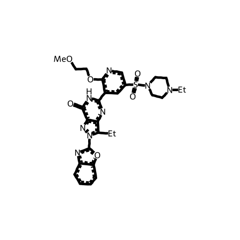 CCc1c2nc(-c3cc(S(=O)(=O)N4CCN(CC)CC4)cnc3OCCOC)[nH]c(=O)c2nn1-c1nc2ccccc2o1